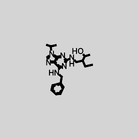 CCC(CNc1nc(NCc2ccccc2)c2ncn(C(C)C)c2n1)C(C)O